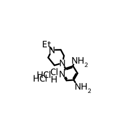 CCN1CCN(c2ncc(N)cc2N)CC1.Cl.Cl.Cl